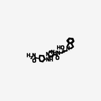 NC(=O)[C@H]1CC[C@H](Nc2cc(C(=O)NC[C@H](O)CN3CCc4ccccc4C3)ncn2)CC1